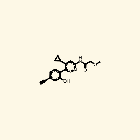 C#Cc1ccc(-c2nnc(NC(=O)COC)cc2C2CC2)c(O)c1